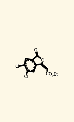 CCOC(=O)/C=C1/OC(=O)c2cc(Cl)c(Cl)cc21